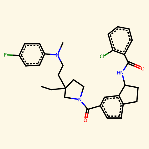 CCC1(CCN(C)c2ccc(F)cc2)CCN(C(=O)c2ccc3c(c2)C(NC(=O)c2ccccc2Cl)CC3)C1